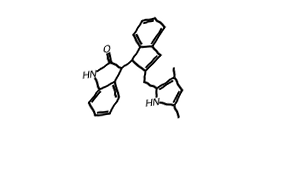 Cc1cc(C)c(CC2=Cc3ccccc3C2C2C(=O)Nc3ccccc32)[nH]1